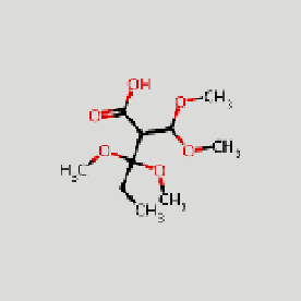 CCC(OC)(OC)C(C(=O)O)C(OC)OC